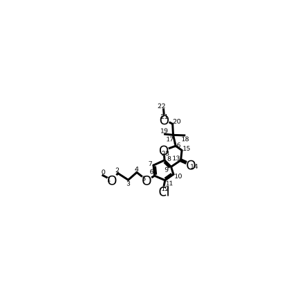 COCCCOc1cc2c(cc1Cl)C(=O)CC(C(C)(C)COC)O2